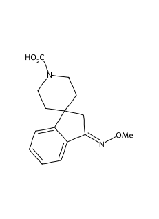 CON=C1CC2(CCN(C(=O)O)CC2)c2ccccc21